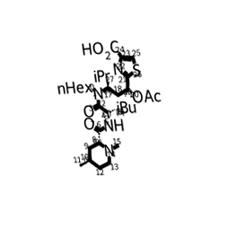 CCCCCCN(C(=O)[C@@H](NC(=O)[C@H]1C[C@H](C)CCN1C)[C@@H](C)CC)[C@H](C[C@@H](OC(C)=O)c1nc(C(=O)O)cs1)C(C)C